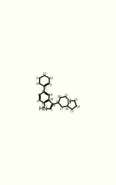 C1=C(c2ccc3[nH]cc(C4CCN5CCCC5C4)c3c2)CCCC1